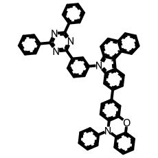 c1ccc(-c2nc(-c3ccccc3)nc(-c3cccc(-n4c5cc(-c6ccc7c(c6)Oc6ccccc6N7c6ccccc6)ccc5c5c6ccccc6ccc54)c3)n2)cc1